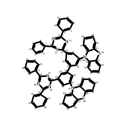 c1ccc(-c2nc(-c3ccccc3)nc(-c3cc(-c4cc(-c5nc(-c6ccccc6)nc(-c6ccccc6)n5)cc(N5c6ccccc6Sc6ccccc65)c4)cc(N4c5ccccc5Sc5ccccc54)c3)n2)cc1